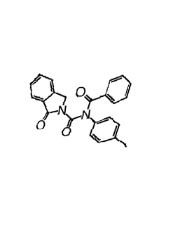 Cc1ccc(N(C(=O)c2ccccc2)C(=O)N2Cc3ccccc3C2=O)cc1